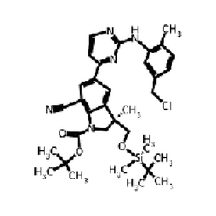 Cc1ccc(CCl)cc1Nc1nccc(-c2cc(C#N)c3c(c2)[C@@](C)(CO[Si](C)(C)C(C)(C)C)CN3C(=O)OC(C)(C)C)n1